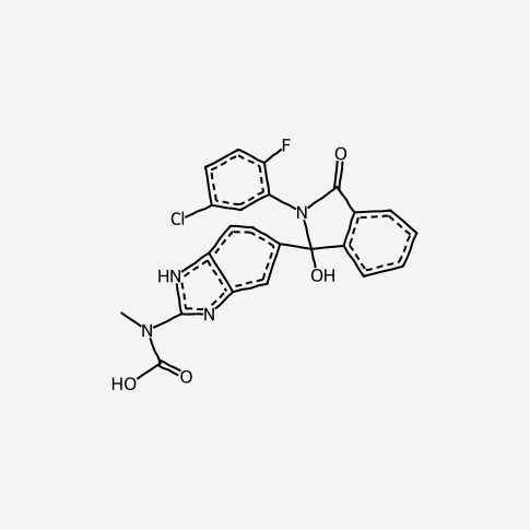 CN(C(=O)O)c1nc2cc(C3(O)c4ccccc4C(=O)N3c3cc(Cl)ccc3F)ccc2[nH]1